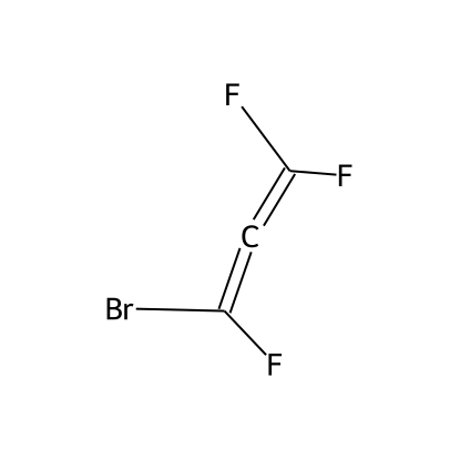 FC(F)=C=C(F)Br